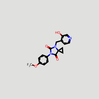 O=C1N(c2ccc(OC(F)(F)F)cc2)C(=O)C2(CC2)N1Cc1ccncc1O